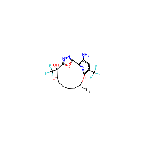 C[C@@H]1CCCCC(O)C(O)(C(F)(F)F)c2nnc(o2)-c2nc(c(C(F)(F)F)cc2N)O1